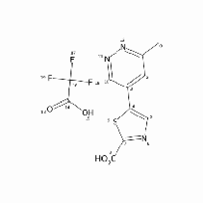 Cc1cc(-c2cnc(C(=O)O)s2)cnn1.O=C(O)C(F)(F)F